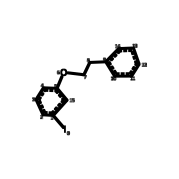 Ic1cccc(OCCc2ccccc2)c1